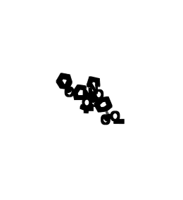 CCOC(=O)[C@H]1CC[C@H](OC(C(=O)OC(C)(C)C)(N2CCCC2)N2CCC(Oc3ccccc3)CC2)CC1